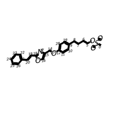 CS(=O)(=O)OCCCCc1ccc(OCc2coc(/C=C/c3ccccc3)n2)cc1